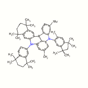 Cc1cc2c3c(c1)N(c1cc4c(cc1C)C(C)(C)CC4(C)C)c1cc(C(C)(C)C)ccc1B3c1cc3c(cc1N2c1ccc2c(c1)C(C)(C)CCC2(C)C)C(C)(C)CCC3(C)C